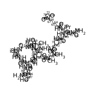 CC[C@H](C)[C@@H]1NC(=O)CNC(=O)[C@H](NC(=O)[C@@H](NC(C)=O)[C@@H](C)[C@@H](O)CO)Cc2c([nH]c3cc(OC(=O)N(C)CCN(C)C(=O)OCc4ccc(NC(=O)[C@H](CCCNC(N)=O)NC(=O)[C@@H](NC(=O)CCCCCN5C(=O)C=CC5=O)C(C)C)cc4)ccc23)[S+]([O-])C[C@@H](C(=O)N[C@@H](CC(N)=O)C(=O)N2CC[C@@H](O)C2)NC(=O)CNC1=O